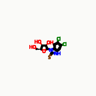 OC[C@H]1OC(n2c(=S)[nH]c3cc(Cl)c(Cl)cc32)[C@@H](O)[C@H]1O